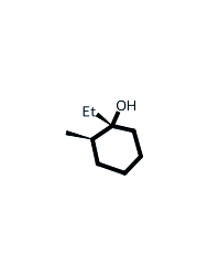 CC[C@@]1(O)CCCC[C@H]1C